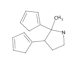 CC1(C2=CC=CC2)[N]CCC1C1=CC=CC1